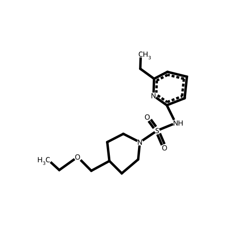 CCOCC1CCN(S(=O)(=O)Nc2cccc(CC)n2)CC1